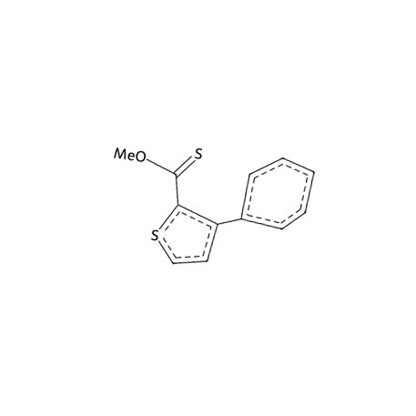 COC(=S)c1sccc1-c1ccccc1